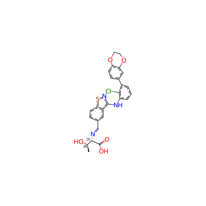 C[C@@H](O)[C@H](N=Cc1ccc2snc(Nc3cccc(-c4ccc5c(c4)OCCO5)c3Cl)c2c1)C(=O)O